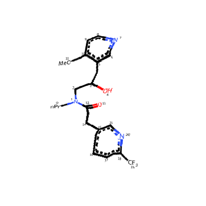 CCCN(CC(O)c1cnccc1OC)C(=O)Cc1ccc(C(F)(F)F)nc1